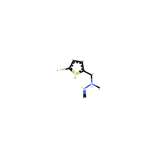 C=NN(C)Cc1ccc(F)s1